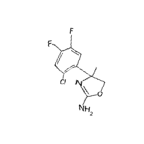 CC1(c2cc(F)c(F)cc2Cl)COC(N)=N1